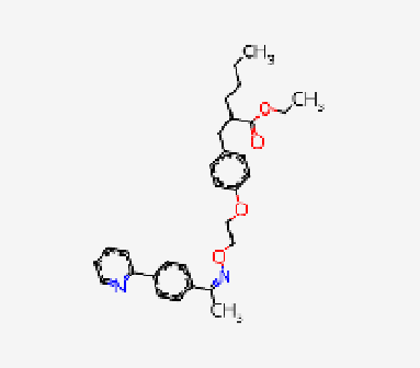 CCCCC(Cc1ccc(OCCON=C(C)c2ccc(-c3ccccn3)cc2)cc1)C(=O)OCC